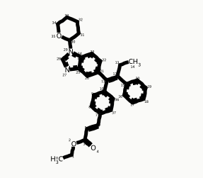 CCOC(=O)/C=C/c1ccc(/C(=C(/CC)c2ccccc2)c2ccc3c(c2)ncn3C2CCCCO2)cc1